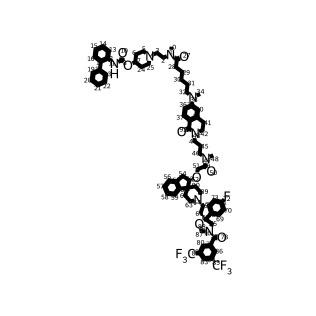 CN(CCN1CCC(OC(=O)Nc2ccccc2-c2ccccc2)CC1)C(=O)CCCCCN(C)c1ccc2c(c1)CCN(CCCN(C)C(=O)CO[C@H]1Cc3ccccc3C13CCN(CC[C@@]1(c4ccc(F)cc4)CN(C(=O)c4cc(C(F)(F)F)cc(C(F)(F)F)c4)CO1)CC3)C2=O